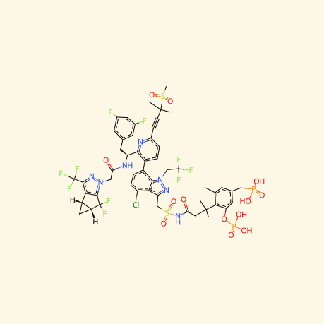 Cc1cc(CP(=O)(O)O)cc(OP(=O)(O)O)c1C(C)(C)CC(=O)NS(=O)(=O)Cc1nn(CC(F)(F)F)c2c(-c3ccc(C#CC(C)(C)S(C)(=O)=O)nc3[C@H](Cc3cc(F)cc(F)c3)NC(=O)Cn3nc(C(F)(F)F)c4c3C(F)(F)[C@@H]3C[C@H]43)ccc(Cl)c12